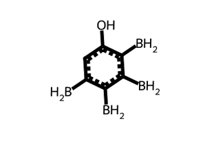 Bc1cc(O)c(B)c(B)c1B